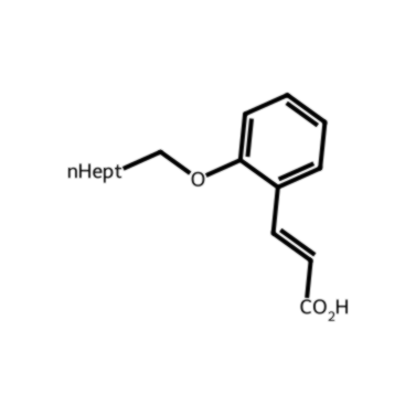 CCCCCCCCOc1ccccc1C=CC(=O)O